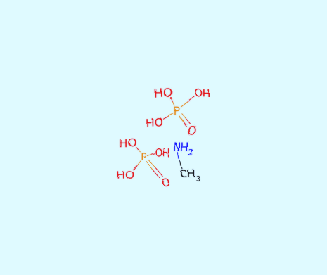 CN.O=P(O)(O)O.O=P(O)(O)O